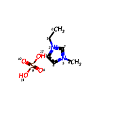 CC[n+]1ccn(C)c1.O=S(=O)(O)O